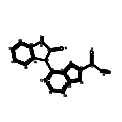 COC(=O)c1cc2c(C3C(=O)Nc4ccccc43)ncnn2c1